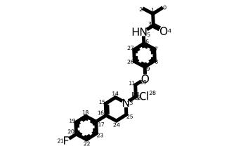 CC(C)C(=O)Nc1ccc(OCCN2CC=C(c3ccc(F)cc3)CC2)cc1.Cl